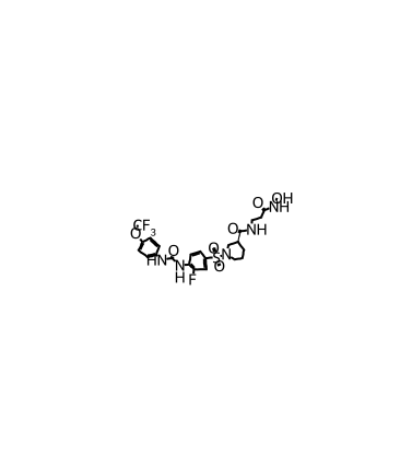 O=C(CCNC(=O)[C@H]1CCCN(S(=O)(=O)c2ccc(NC(=O)Nc3ccc(OC(F)(F)F)cc3)c(F)c2)C1)NO